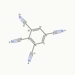 N#Cc1[c]c(C#N)c(C#N)c(C#N)c1